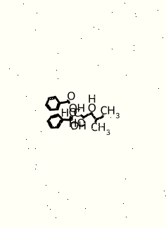 CCC(C)C(O)C(C)O.O=C(O)c1ccccc1.O=C(O)c1ccccc1